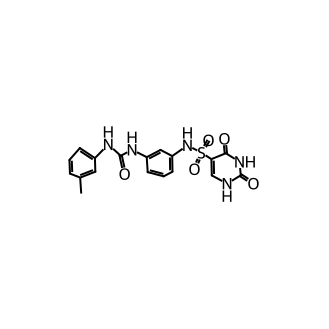 Cc1cccc(NC(=O)Nc2cccc(NS(=O)(=O)c3c[nH]c(=O)[nH]c3=O)c2)c1